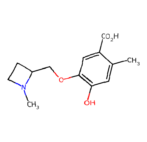 Cc1cc(O)c(OCC2CCN2C)cc1C(=O)O